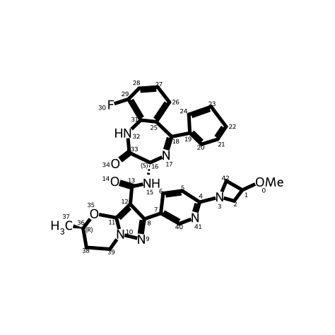 COC1CN(c2ccc(-c3nn4c(c3C(=O)N[C@H]3N=C(c5ccccc5)c5cccc(F)c5NC3=O)O[C@H](C)CC4)cn2)C1